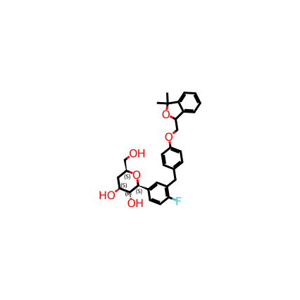 CC1(C)OC(COc2ccc(Cc3cc([C@@H]4O[C@H](CO)C[C@H](O)[C@H]4O)ccc3F)cc2)c2ccccc21